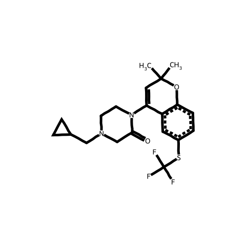 CC1(C)C=C(N2CCN(CC3CC3)CC2=O)c2cc(SC(F)(F)F)ccc2O1